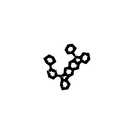 c1ccc(-c2nccc(-n3c4ccccc4c4cc5cc6c7ccccc7n(-c7ccccc7)c6cc5cc43)n2)cc1